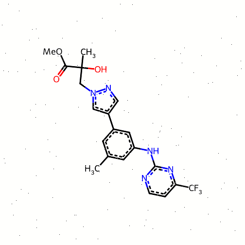 COC(=O)C(C)(O)Cn1cc(-c2cc(C)cc(Nc3nccc(C(F)(F)F)n3)c2)cn1